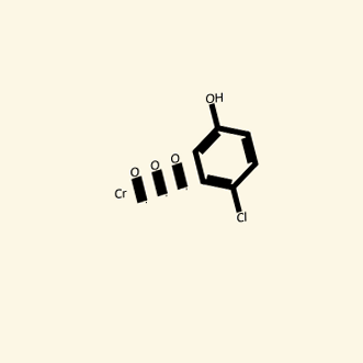 Oc1ccc(Cl)cc1.[C]=O.[C]=O.[C]=O.[Cr]